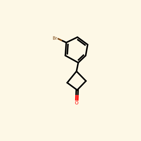 O=C1CC(c2cccc(Br)c2)C1